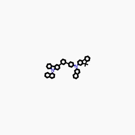 CC1(C)c2ccccc2-c2ccc(N(c3ccc(-c4cccc(-c5ccc6c(c5)c5ccccc5n6-c5cccc6ccccc56)c4)cc3)c3ccc4ccccc4c3)cc21